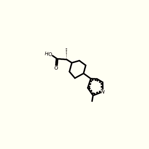 Cc1cc(C2CCC([C@@H](C)C(=O)O)CC2)ccn1